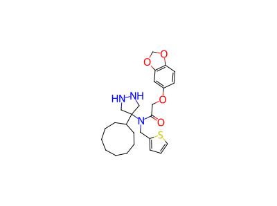 O=C(COc1ccc2c(c1)OCO2)N(Cc1cccs1)C1(C2CCCCCCCC2)CNNC1